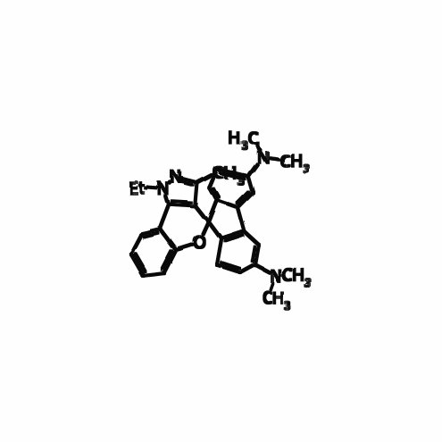 CCn1nc(C)c2c1-c1ccccc1OC21c2ccc(N(C)C)cc2-c2cc(N(C)C)ccc21